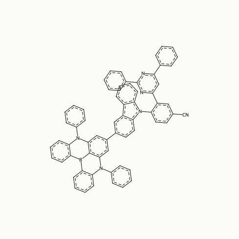 N#Cc1ccc(-n2c3ccccc3c3cc(-c4cc5c6c(c4)N(c4ccccc4)c4ccccc4B6c4ccccc4N5c4ccccc4)ccc32)c(-c2cc(-c3ccccc3)nc(-c3ccccc3)n2)c1